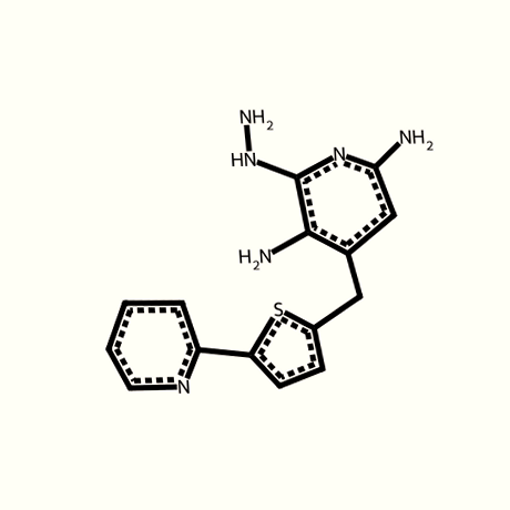 NNc1nc(N)cc(Cc2ccc(-c3ccccn3)s2)c1N